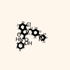 O=C(NC1CCCC[C@@H]1O)c1cn(Cc2ccc(-n3cccn3)cc2)c2c(Cl)cccc2c1=O